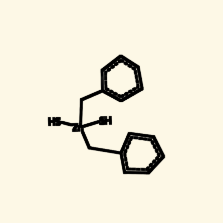 [SH][Zn]([SH])([CH2]c1ccccc1)[CH2]c1ccccc1